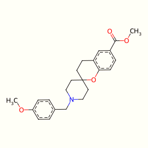 COC(=O)c1ccc2c(c1)CCC1(CCN(Cc3ccc(OC)cc3)CC1)O2